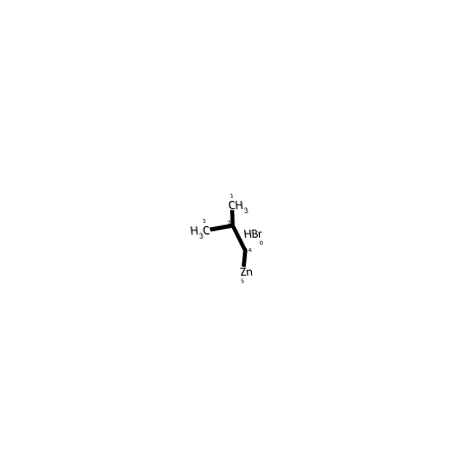 Br.CC(C)[CH2][Zn]